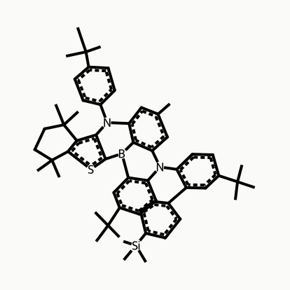 Cc1cc2c3c(c1)N(c1ccc(C(C)(C)C)cc1)c1c(sc4c1C(C)(C)CCC4(C)C)B3c1cc(C(C)(C)C)ccc1N2c1ccc(C(C)(C)C)cc1-c1ccc([Si](C)(C)C)cc1